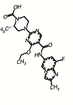 CCOc1nc(N2CCN(C(=O)O)[C@@H](C)C2)ncc1C(=O)Nc1cc(F)c2nc(C)cn2c1